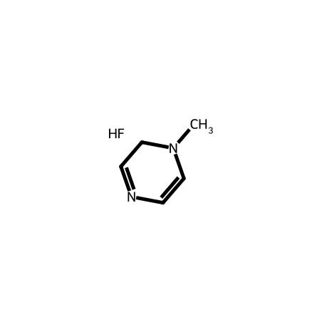 CN1C=CN=CC1.F